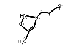 CC1=CN(CCS)NN1